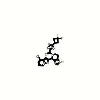 O=C(c1nnc(C2CC(F)(F)C2)o1)N1CCc2[nH]cnc2C1c1cc2c(Cl)cccn2n1